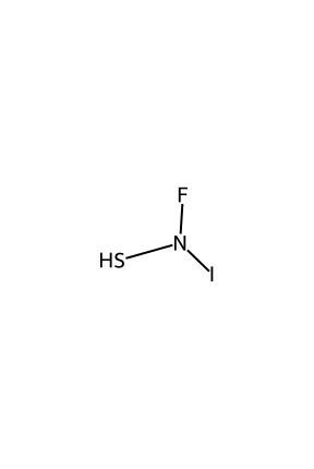 FN(S)I